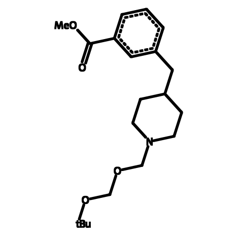 COC(=O)c1cccc(CC2CCN(COCOC(C)(C)C)CC2)c1